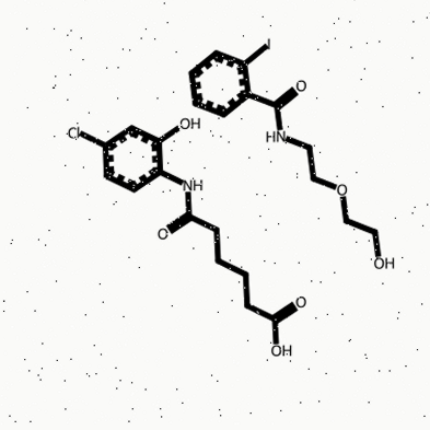 O=C(NCCOCCO)c1ccccc1I.O=C(O)CCCCC(=O)Nc1ccc(Cl)cc1O